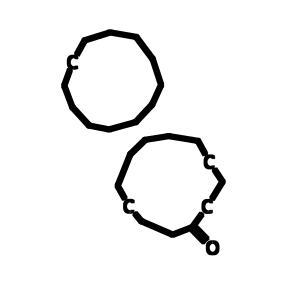 C1CCCCCCCCCCC1.O=C1CCCCCCCCCCC1